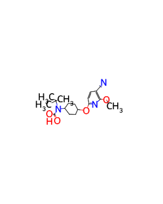 COc1nc(OC2CCC(N(C(=O)O)C(C)(C)C)CC2)ccc1C#N